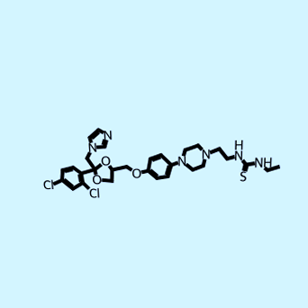 CCNC(=S)NCCN1CCN(c2ccc(OCC3COC(Cn4ccnc4)(c4ccc(Cl)cc4Cl)O3)cc2)CC1